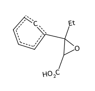 CCC1(c2ccccc2)OC1C(=O)O